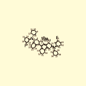 CC(C)(C)C1(C(C)(C)C)c2cc(N(c3ccccc3)c3cccc(F)c3)c3ccccc3c2-c2c1c1ccc(N(c3ccccc3)c3cccc(F)c3)cc1c1ccccc21